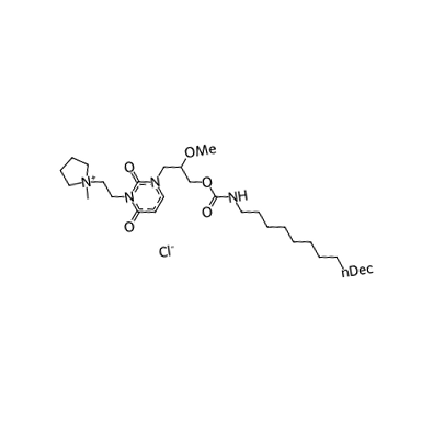 CCCCCCCCCCCCCCCCCCNC(=O)OCC(Cn1ccc(=O)n(CC[N+]2(C)CCCC2)c1=O)OC.[Cl-]